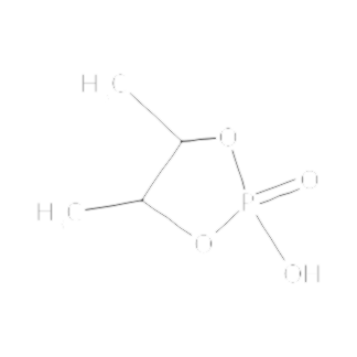 CC1OP(=O)(O)OC1C